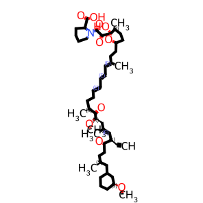 C#C[C@H](/C=C(\C)C[C@@H](OC)C(=O)[C@H](C)CC/C=C/C=C/C=C(\C)CCC1CC[C@@H](C)C(O)(C(=O)C(=O)N2CCCCC2C(=O)O)O1)C(=O)CC[C@H](C)CC1CCC[C@H](OC)C1